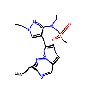 CSc1ncc2ccc(-c3cn(C)nc3N(C)S(C)(=O)=O)n2n1